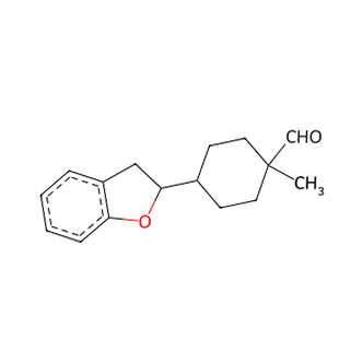 CC1(C=O)CCC(C2Cc3ccccc3O2)CC1